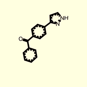 O=C(c1ccccc1)c1ccc(-c2cc[nH]n2)cc1